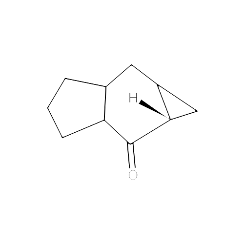 O=C1C2CCCC2CC2C[C@H]12